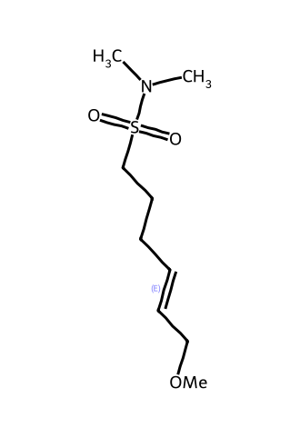 COC/C=C/CCCS(=O)(=O)N(C)C